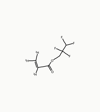 [2H]C([2H])=C([2H])C(=O)OCC(F)(F)C(F)F